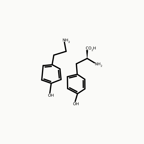 NCCc1ccc(O)cc1.N[C@@H](Cc1ccc(O)cc1)C(=O)O